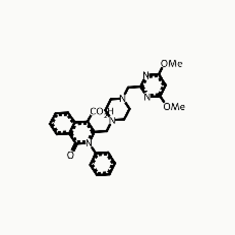 COc1cc(OC)nc(CN2CCN(Cc3c(C(=O)O)c4ccccc4c(=O)n3-c3ccccc3)CC2)n1